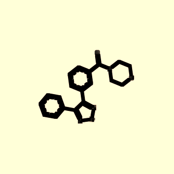 O=C(c1cccc(C2=N[N]N=C2c2ccccc2)c1)N1CCOCC1